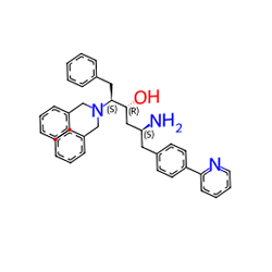 N[C@@H](Cc1ccc(-c2ccccn2)cc1)C[C@@H](O)[C@H](Cc1ccccc1)N(Cc1ccccc1)Cc1ccccc1